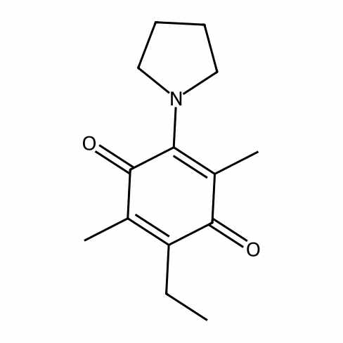 CCC1=C(C)C(=O)C(N2CCCC2)=C(C)C1=O